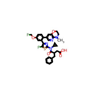 CN1CCOc2cc(-c3ccc(OCF)cc3-c3nc(N(C(=O)C(CC(=O)O)Cc4ccccc4)C4CC4)sc3F)cnc21